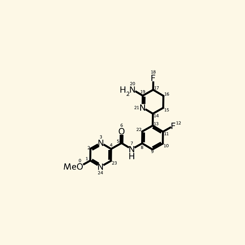 COc1cnc(C(=O)Nc2ccc(F)c(C3CCC(F)C(N)=N3)c2)cn1